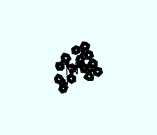 c1ccc([Si](c2ccccc2)(c2ccccc2)c2ccc3c(c2)c2cc([Si](c4ccccc4)(c4ccccc4)c4ccccc4)ccc2n3-c2cc(-n3c4ccccc4c4ccccc43)nc(-c3cccc(-n4c5ccccc5c5ccccc54)c3)n2)cc1